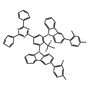 Cc1ccc(-c2ccc3c(c2)c2ccccc2n3-c2cc(-c3nc(-c4ccccc4)nc(-c4ccccc4)n3)cc(-n3c4ccccc4c4cc(-c5ccc(C)cc5C)ccc43)c2C(F)(F)F)c(C)c1